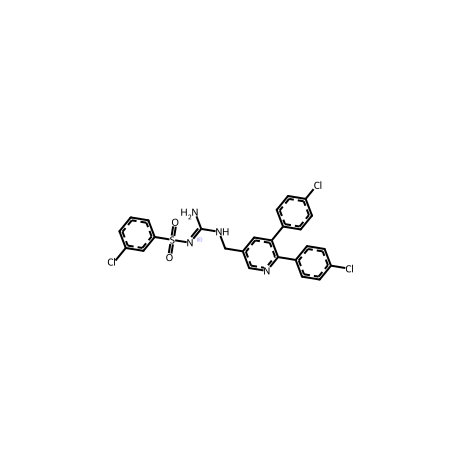 N/C(=N\S(=O)(=O)c1cccc(Cl)c1)NCc1cnc(-c2ccc(Cl)cc2)c(-c2ccc(Cl)cc2)c1